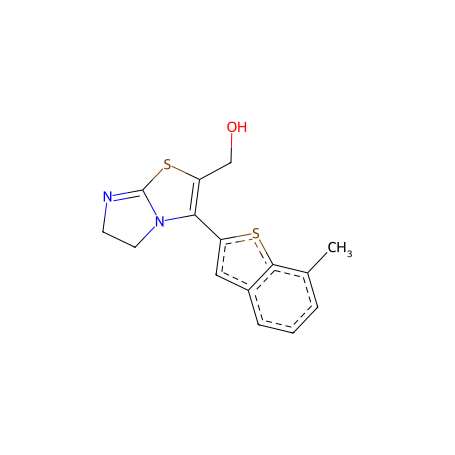 Cc1cccc2cc(C3=C(CO)SC4=NCCN43)sc12